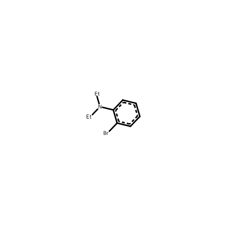 CCN(CC)c1[c]cccc1Br